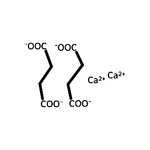 O=C([O-])CCC(=O)[O-].O=C([O-])CCC(=O)[O-].[Ca+2].[Ca+2]